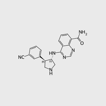 N#Cc1cccc([C@@H]2CNC[C@H]2Nc2ncnc3c(C(N)=O)cccc23)c1